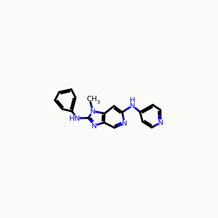 Cn1c(Nc2ccccc2)nc2cnc(Nc3ccncc3)cc21